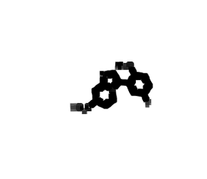 COc1ccc(F)cc1-c1cnc2cc(C(=O)O)ccn12